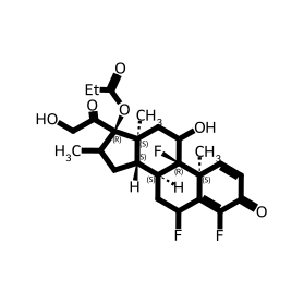 CCC(=O)O[C@]1(C(=O)CO)C(C)C[C@H]2[C@@H]3CC(F)C4=C(F)C(=O)C=C[C@]4(C)[C@@]3(F)C(O)C[C@@]21C